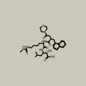 CNC(=S)NCCCCC(NC(=O)C(CC(=O)N1CCOCC1)Cc1cccc2ccccc12)C(=O)NC(CC(C)C)[C@H](O)C(=O)O